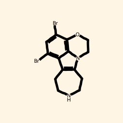 Brc1cc(Br)c2c3c(n4c2c1OCC4)CCNCC3